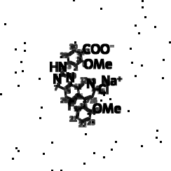 COc1cc(Nc2ncc3c(n2)C2=CN=C(Cl)C=C(c4c(F)cccc4OC)C2=CC3)ccc1C(=O)[O-].[Na+]